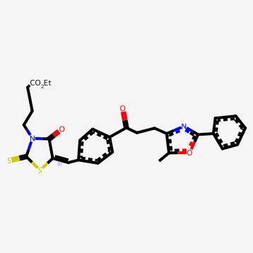 CCOC(=O)CCCN1C(=O)/C(=C\c2ccc(C(=O)CCc3nc(-c4ccccc4)oc3C)cc2)SC1=S